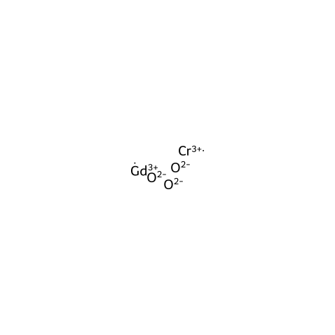 [Cr+3].[Gd+3].[O-2].[O-2].[O-2]